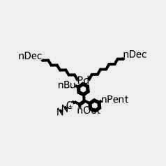 CCCCCCCCC(C=C=[N+]=[N-])=C(c1cccc(CCCC)c1)c1cccc(CCCCC)c1.CCCCCCCCCCCCCCCCCC[CH2][Pd][CH2]CCCCCCCCCCCCCCCCCC